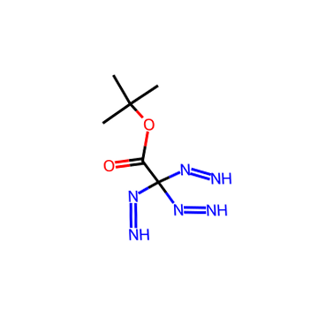 CC(C)(C)OC(=O)C(N=N)(N=N)N=N